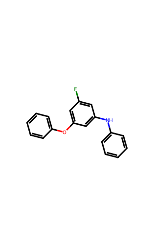 Fc1cc(Nc2ccccc2)cc(Oc2ccccc2)c1